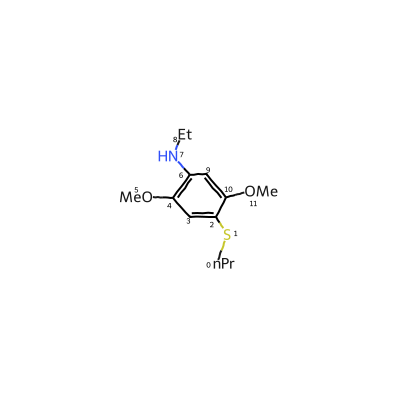 CCCSc1cc(OC)c(NCC)cc1OC